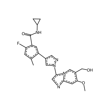 COc1cc2ncc(-n3cc(-c4cc(C(=O)NC5CC5)c(F)cc4C)cn3)n2cc1CO